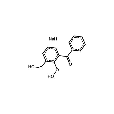 O=C(c1ccccc1)c1cccc(OO)c1OO.[NaH]